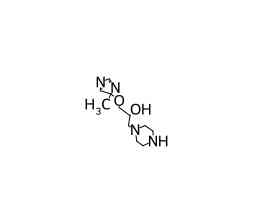 CC1(OCC(O)CN2CCNCC2)C=NC=N1